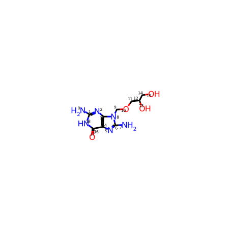 Nc1nc2c(nc(N)n2COCC(O)CO)c(=O)[nH]1